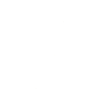 CC1(C)C=C(COC(=O)NCCCC[C@H](N)C(=O)O)C(C)(C)N1O